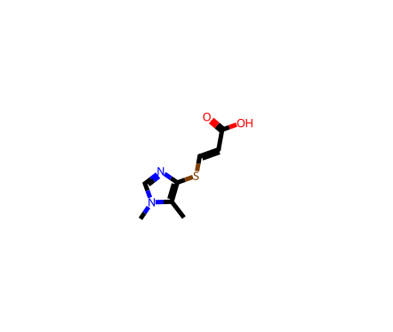 Cc1c(SC=CC(=O)O)ncn1C